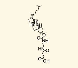 CC(C)CCC[C@@H](C)[C@H]1CC[C@H]2[C@@H]3CC=C4C[C@@H](OC(=O)NCCNC(=O)CCC(=O)O)CC[C@]4(C)[C@H]3CC[C@]12C